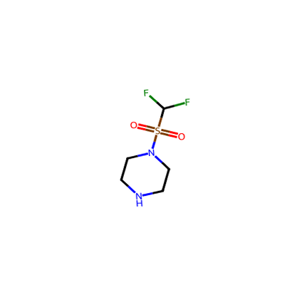 O=S(=O)(C(F)F)N1CCNCC1